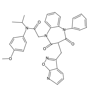 COc1ccc(N(C(=O)CN2C(=O)C(Cc3noc4ncccc34)C(=O)N(c3ccccc3)c3ccccc32)C(C)C)cc1